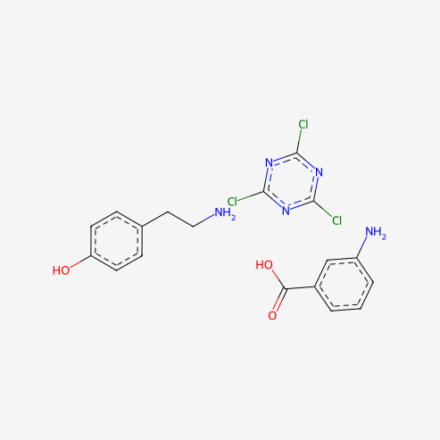 Clc1nc(Cl)nc(Cl)n1.NCCc1ccc(O)cc1.Nc1cccc(C(=O)O)c1